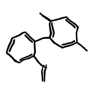 C=Nc1ccccc1-c1cc(C)ccc1C